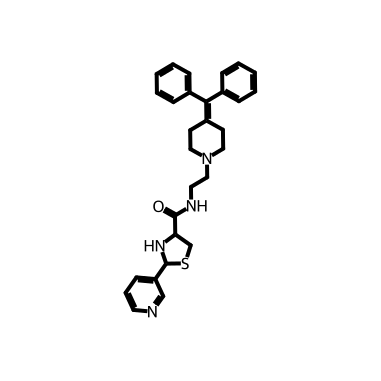 O=C(NCCN1CCC(=C(c2ccccc2)c2ccccc2)CC1)C1CSC(c2cccnc2)N1